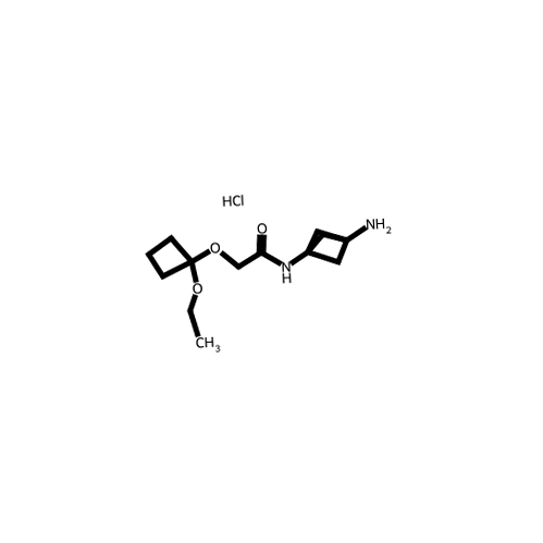 CCOC1(OCC(=O)NC23CC(N)(C2)C3)CCC1.Cl